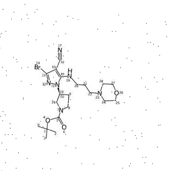 CC(C)(C)OC(=O)N1CC[C@H](n2nc(Br)c(C#N)c2NCCCN2CCOCC2)C1